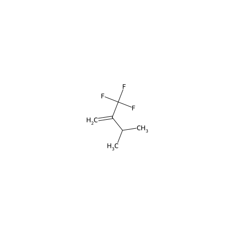 C=C(C(C)C)C(F)(F)F